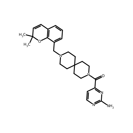 CC1(C)C=Cc2cccc(CN3CCC4(CC3)CCN(C(=O)c3ccnc(N)n3)CC4)c2O1